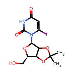 CC1(C)OC2C(O1)[C@@H](CO)O[C@H]2n1c(I)cc(=O)[nH]c1=O